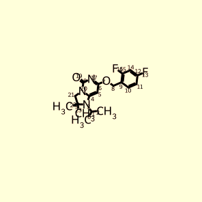 CC(C)N1c2cc(OCc3ccc(F)cc3F)nc(=O)n2CC1(C)C